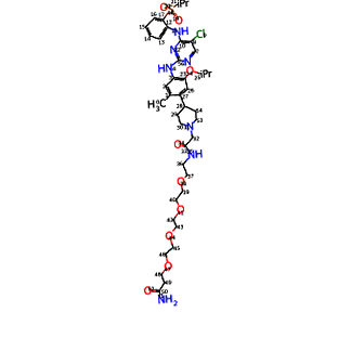 Cc1cc(Nc2ncc(Cl)c(Nc3ccccc3S(=O)(=O)C(C)C)n2)c(OC(C)C)cc1C1CCN(CC(=O)NCCOCCOCCOCCOCCC(N)=O)CC1